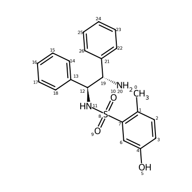 Cc1ccc(O)cc1S(=O)(=O)N[C@@H](c1ccccc1)[C@@H](N)c1ccccc1